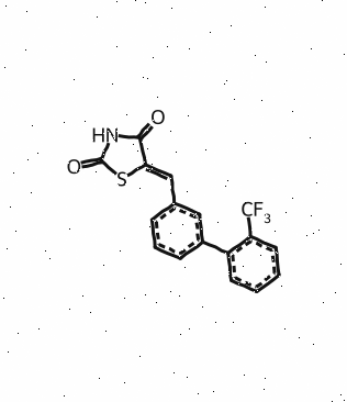 O=C1NC(=O)/C(=C/c2cccc(-c3ccccc3C(F)(F)F)c2)S1